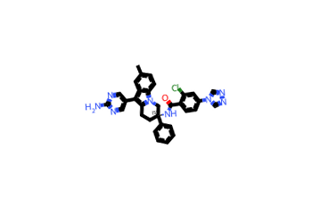 Cc1ccc2c(c1)c(-c1cnc(N)nc1)c1n2C[C@@](NC(=O)c2ccc(-n3cnnc3)cc2Cl)(c2ccccc2)CC1